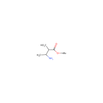 CCCCOC(=O)C(C(=O)O)C(C)N